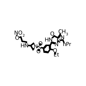 CCCc1nc(C)c2c(=O)[nH]c(-c3cc(S(=O)(=O)N4CC(NCCCO[N+](=O)[O-])C4)ccc3OCC)nn12